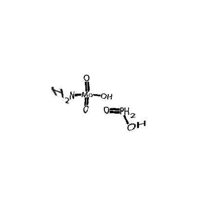 O=[PH2]O.[NH2][Mo](=[O])(=[O])[OH]